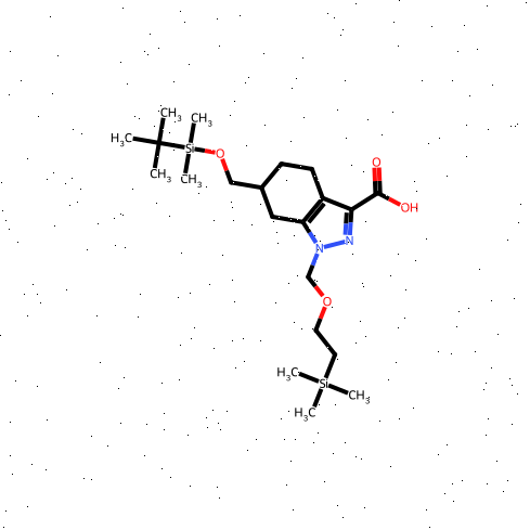 CC(C)(C)[Si](C)(C)OCC1CCc2c(C(=O)O)nn(COCC[Si](C)(C)C)c2C1